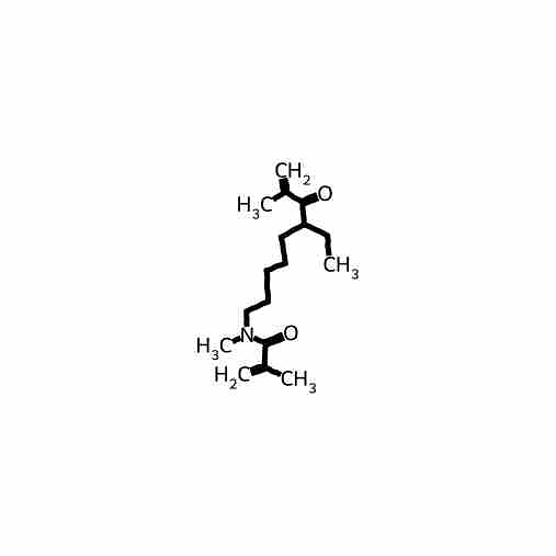 C=C(C)C(=O)C(CC)CCCCCN(C)C(=O)C(=C)C